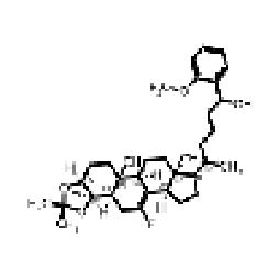 C[C@H](CCCC(O)c1ccccc1OC(F)(F)F)[C@H]1CC[C@H]2C3=C(F)C[C@H]4[C@H]5OC(C)(C)O[C@H]5CC[C@]4(C)[C@H]3CC[C@]12C